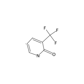 O=C1[N]C=[C]C=C1C(F)(F)F